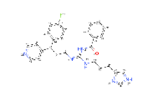 O=C(NC(=NCCC(c1ccncc1)c1ccc(F)cc1)NCCCc1c[nH]cn1)c1ccccc1